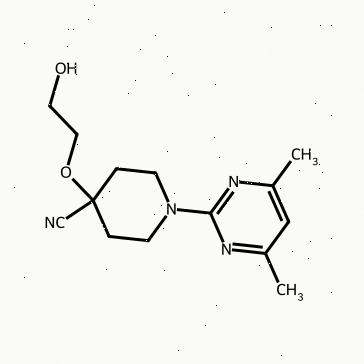 Cc1cc(C)nc(N2CCC(C#N)(OCCO)CC2)n1